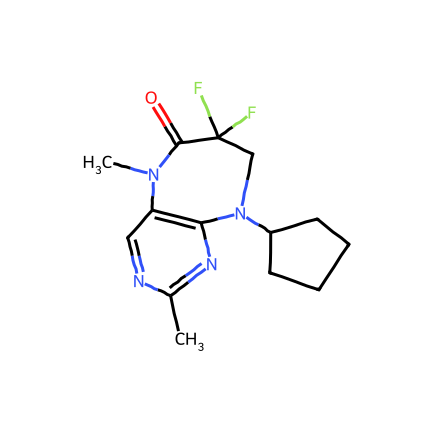 Cc1ncc2c(n1)N(C1CCCC1)CC(F)(F)C(=O)N2C